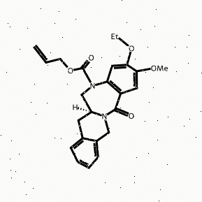 C=CCOC(=O)N1C[C@@H]2Cc3ccccc3CN2C(=O)c2cc(OC)c(OCC)cc21